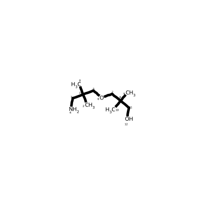 CC(C)(CN)COCC(C)(C)CO